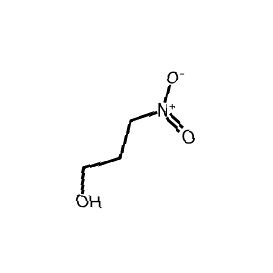 O=[N+]([O-])CCCO